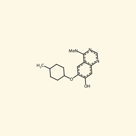 CNc1ncnc2cc(O)c(OC3CCC(C)CC3)cc12